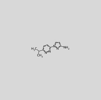 CC(C)c1ccc(-n2ccc(N)n2)nn1